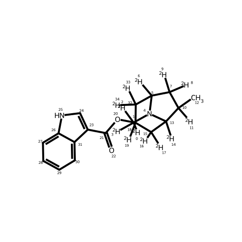 [2H]C([2H])([2H])N1C2([2H])C([2H])([2H])C([2H])(C)C1([2H])C([2H])([2H])C([2H])(OC(=O)c1c[nH]c3ccccc13)C2([2H])[2H]